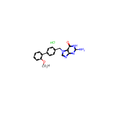 Cl.Nc1nc2ncn(Cc3ccc(-c4ccccc4OC(=O)O)cc3)c2c(=O)[nH]1